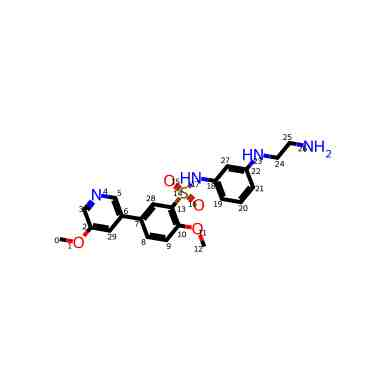 COc1cncc(-c2ccc(OC)c(S(=O)(=O)Nc3cccc(NCCN)c3)c2)c1